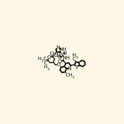 Cc1c(-c2cc(C(=O)NS(=O)(=O)c3ccn[nH]3)c3c(OCC4CC(C)(C)OC(C)(C)C4)ccc(C)c3n2)sc2ccccc12